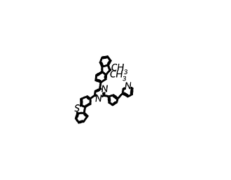 CC1(C)c2ccccc2-c2ccc(-c3cc(-c4ccc5sc6ccccc6c5c4)nc(-c4cccc(-c5cccnc5)c4)n3)cc21